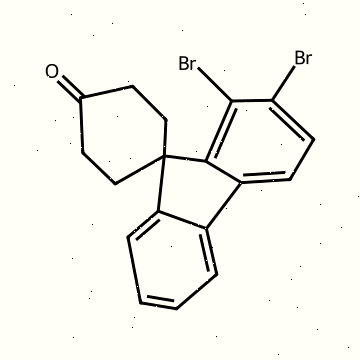 O=C1CCC2(CC1)c1ccccc1-c1ccc(Br)c(Br)c12